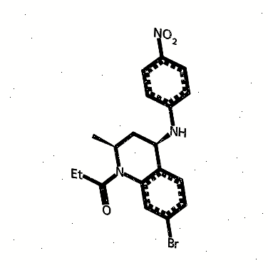 CCC(=O)N1c2cc(Br)ccc2[C@H](Nc2ccc([N+](=O)[O-])cc2)C[C@@H]1C